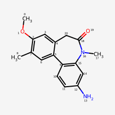 COc1cc2c(cc1C)-c1ccc(N)cc1N(C)C(=O)C2